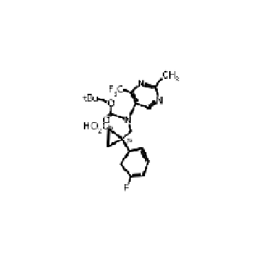 Cc1ncc(N(C[C@@]2(C3C=CC=C(F)C3)C[C@H]2C(=O)O)C(=O)OC(C)(C)C)c(C(F)(F)F)n1